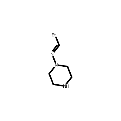 CCC=NN1CCNCC1